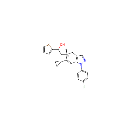 C[C@@]1(CC(O)c2cccs2)Cc2cnn(-c3ccc(F)cc3)c2C=C1C1CC1